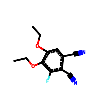 CCOc1cc(C#N)c(C#N)c(F)c1OCC